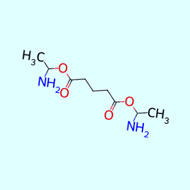 CC(N)OC(=O)CCCC(=O)OC(C)N